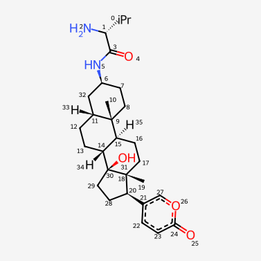 CC(C)[C@@H](N)C(=O)N[C@H]1CC[C@@]2(C)[C@H](CC[C@@H]3[C@@H]2CC[C@]2(C)[C@@H](c4ccc(=O)oc4)CC[C@]32O)C1